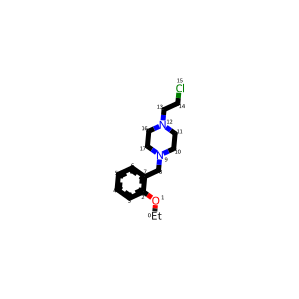 CCOc1ccccc1CN1CCN(CCCl)CC1